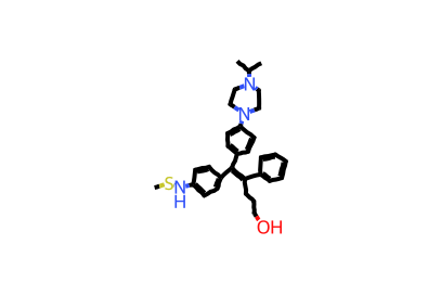 CSNc1ccc(/C(=C(\CCCO)c2ccccc2)c2ccc(N3CCN(C(C)C)CC3)cc2)cc1